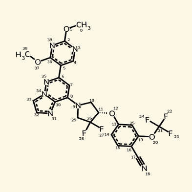 COc1ncc(-c2cc(N3C[C@H](Oc4ccc(C#N)c(OC(F)(F)F)c4)C(F)(F)C3)c3nccn3n2)c(OC)n1